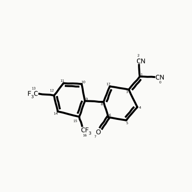 N#CC(C#N)=C1C=CC(=O)C(c2ccc(C(F)(F)F)cc2C(F)(F)F)=C1